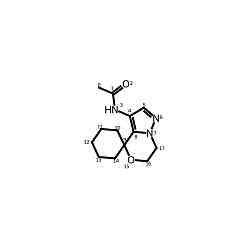 CC(=O)Nc1cnn2c1C1(CCCCC1)OCC2